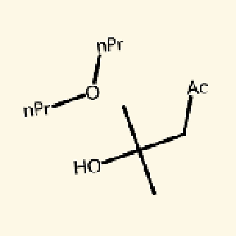 CC(=O)CC(C)(C)O.CCCOCCC